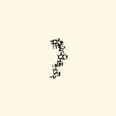 O=C(COc1ccc(C=NNC(=O)c2ccc(O)c(Cl)c2)c2ccccc12)NC1CCCc2ccccc21